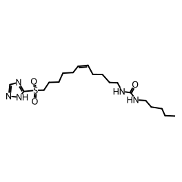 CCCCCNC(=O)NCCCC/C=C\CCCCCS(=O)(=O)c1ncn[nH]1